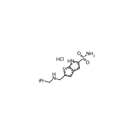 CC(C)CNCc1cc2cc(S(N)(=O)=O)[nH]c2s1.Cl